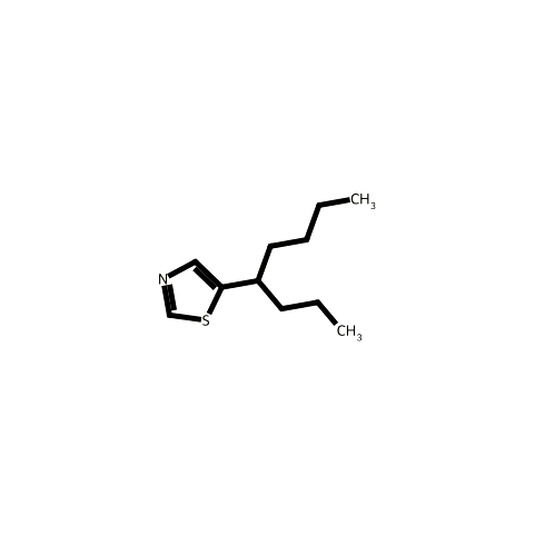 CCCCC(CCC)c1cncs1